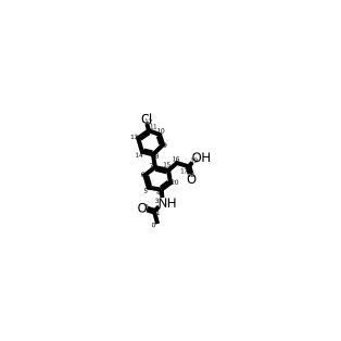 CC(=O)Nc1ccc(-c2ccc(Cl)cc2)c(CC(=O)O)c1